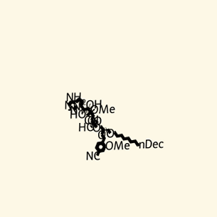 CCCCCCCCCCCCCCCCCCOC[C@H](COP(=O)(O)OC[C@@](CC#N)(OC)[C@@H](O)[C@@H](O)c1ccc2c(N)ncnn12)OCc1ccc(C#N)cc1OC